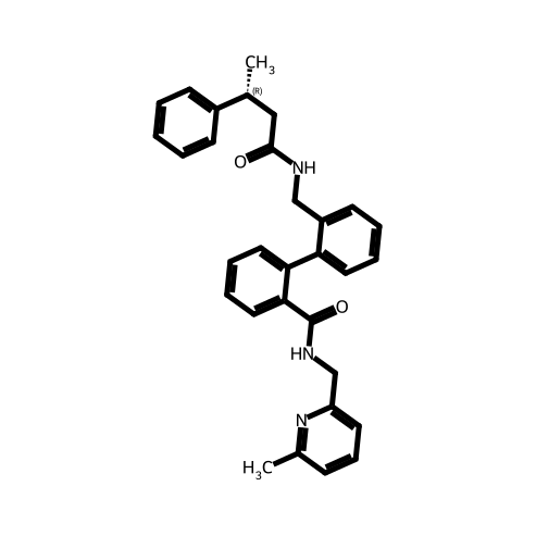 Cc1cccc(CNC(=O)c2ccccc2-c2ccccc2CNC(=O)C[C@@H](C)c2ccccc2)n1